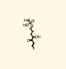 CC=CC(=O)C(O)CCCOP(=O)(O)O